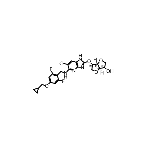 O[C@@H]1CO[C@H]2[C@@H]1OC[C@H]2Oc1nc2nc(NCc3c(F)cc(OCC4CC4)cc3F)c(Cl)cc2[nH]1